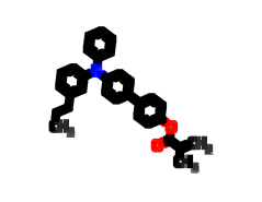 C=C(C)C(=O)Oc1ccc(-c2ccc(N(c3ccccc3)c3cccc(CCC)c3)cc2)cc1